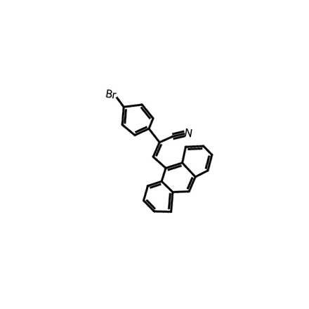 N#CC(=Cc1c2ccccc2cc2ccccc12)c1ccc(Br)cc1